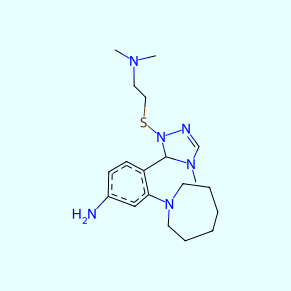 CN(C)CCSN1N=CN(C)C1c1ccc(N)cc1N1CCCCCC1